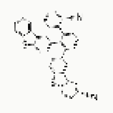 N#Cc1ccc2sc3ccc(-c4cccc(-c5ccccc5C#N)c4-c4ccc5sc6ccccc6c5c4)cc3c2c1